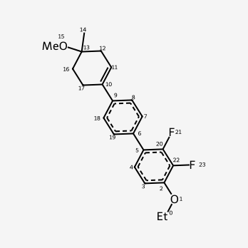 CCOc1ccc(-c2ccc(C3=CCC(C)(OC)CC3)cc2)c(F)c1F